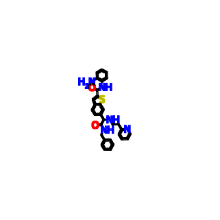 Nc1ccccc1NC(=O)c1cc2ccc(C(NCCc3ccccn3)C(=O)NCc3ccccc3)cc2s1